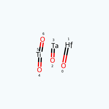 [O]=[Hf].[O]=[Ta].[O]=[Ti]=[O]